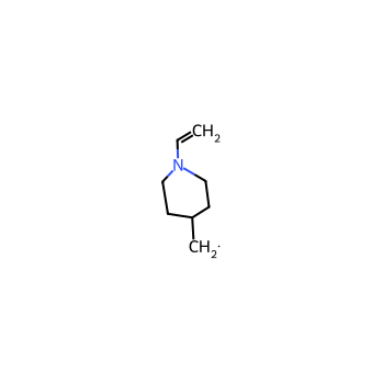 [CH2]C1CCN(C=C)CC1